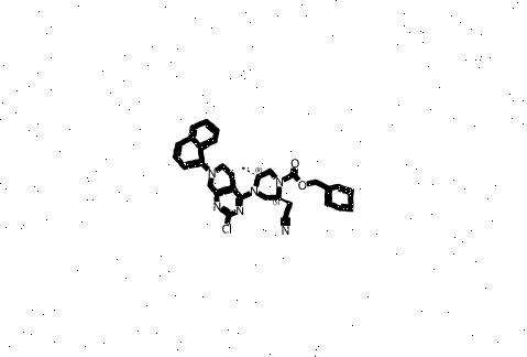 C[C@@H]1CN(C(=O)OCc2ccccc2)[C@@H](CC#N)CN1c1nc(Cl)nc2c1CCN(c1cccc3ccccc13)C2